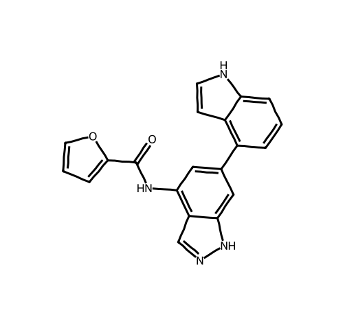 O=C(Nc1cc(-c2cccc3[nH]ccc23)cc2[nH]ncc12)c1ccco1